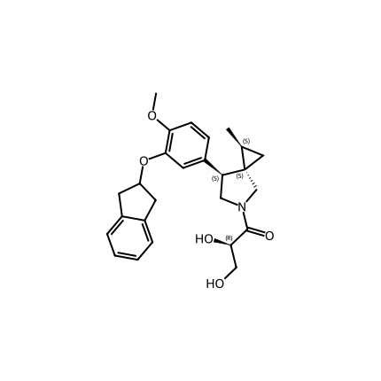 COc1ccc([C@@H]2CN(C(=O)[C@H](O)CO)C[C@]23C[C@@H]3C)cc1OC1Cc2ccccc2C1